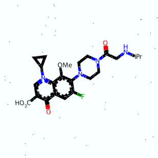 COc1c(N2CCN(C(=O)CNC(C)C)CC2)c(F)cc2c(=O)c(C(=O)O)cn(C3CC3)c12